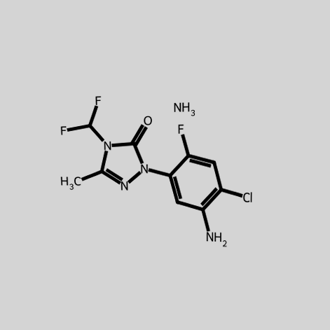 Cc1nn(-c2cc(N)c(Cl)cc2F)c(=O)n1C(F)F.N